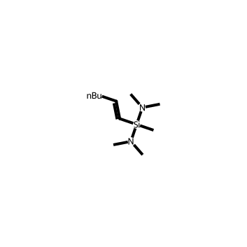 CCCCC=C[Si](C)(N(C)C)N(C)C